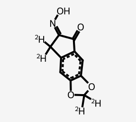 [2H]C1([2H])Oc2cc3c(cc2O1)C([2H])([2H])/C(=N/O)C3=O